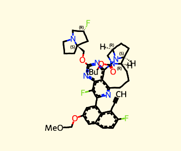 C#Cc1c(F)ccc2cc(OCOC)cc(-c3nc4c5c(nc(OC[C@@]67CCCN6C[C@H](F)C7)nc5c3F)N3C[C@H]5CC[C@@H]([C@H]3CCC4)N5C(=O)OC(C)(C)C)c12